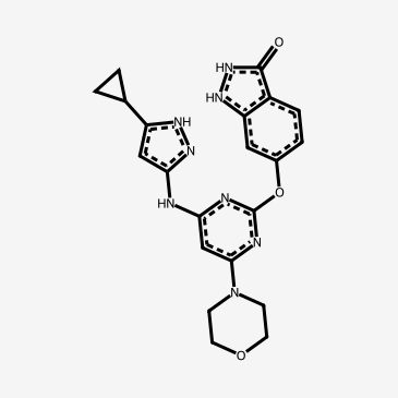 O=c1[nH][nH]c2cc(Oc3nc(Nc4cc(C5CC5)[nH]n4)cc(N4CCOCC4)n3)ccc12